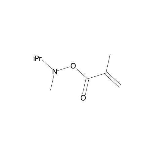 C=C(C)C(=O)ON(C)C(C)C